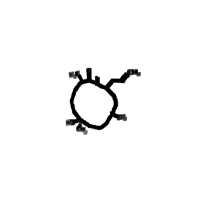 C=CCC1CCN(C)CCC[C@@](C)(O)CCC[C@@H](C)C(=O)N1